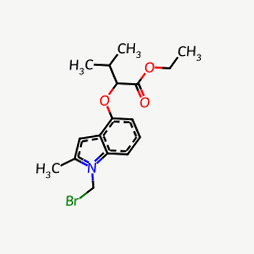 CCOC(=O)C(Oc1cccc2c1cc(C)n2CBr)C(C)C